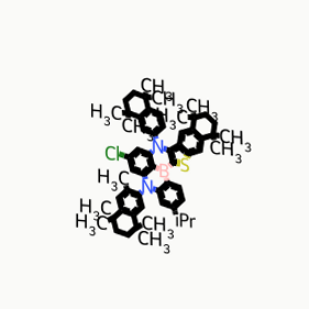 Cc1cc2c(cc1N1c3cc(C(C)C)ccc3B3c4sc5cc6c(cc5c4N(c4ccc5c(c4)C(C)(C)CCC5(C)C)c4cc(Cl)cc1c43)C(C)(C)CCC6(C)C)C(C)(C)CCC2(C)C